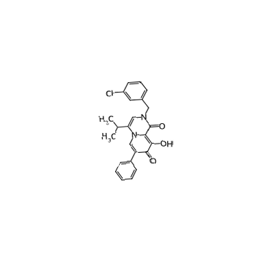 CC(C)c1cn(Cc2cccc(Cl)c2)c(=O)c2c(O)c(=O)c(-c3ccccc3)cn12